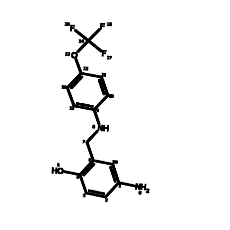 Nc1ccc(O)c(CNc2ccc(OC(F)(F)F)cc2)c1